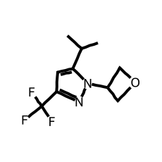 CC(C)c1cc(C(F)(F)F)nn1C1COC1